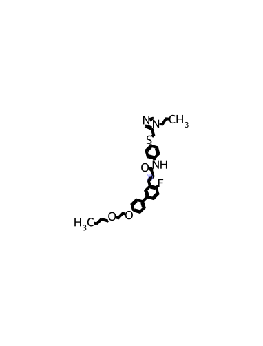 CCCCOCCOc1ccc(-c2ccc(F)c(/C=C/C(=O)Nc3ccc(SCc4cncn4CCC)cc3)c2)cc1